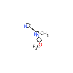 Cc1cc(C#Cc2cccnc2)nn1-c1ccc(OC(F)(F)F)cc1